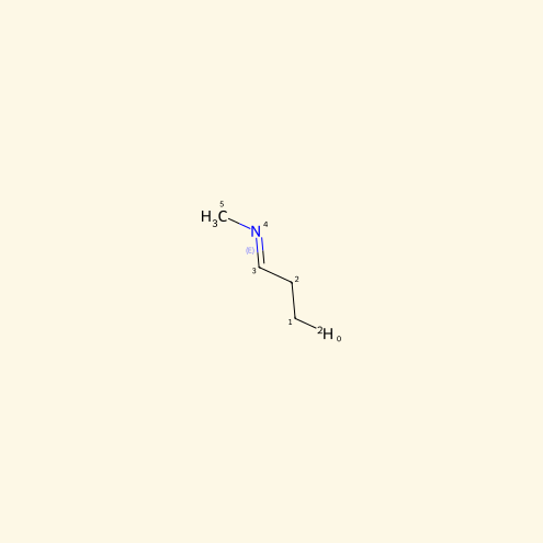 [2H]CC/C=N/C